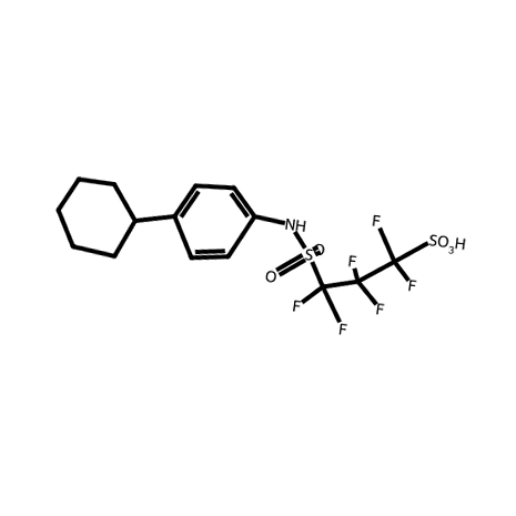 O=S(=O)(O)C(F)(F)C(F)(F)C(F)(F)S(=O)(=O)Nc1ccc(C2CCCCC2)cc1